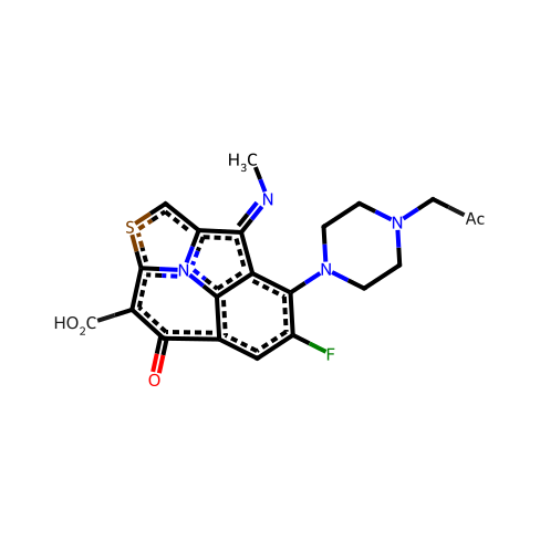 CN=c1c2c(N3CCN(CC(C)=O)CC3)c(F)cc3c(=O)c(C(=O)O)c4scc1n4c32